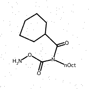 CCCCCCCCN(C(=O)ON)C(=O)C1CCCCC1